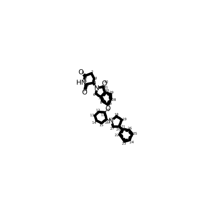 O=C1CCC(N2Cc3cc(O[C@H]4CCCC[C@H]4N4CCC(c5ccccc5)C4)ccc3C2=O)C(=O)N1